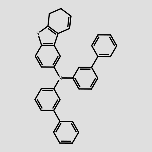 C1=Cc2c(sc3ccc(N(c4cccc(-c5ccccc5)c4)c4cccc(-c5ccccc5)c4)cc23)CC1